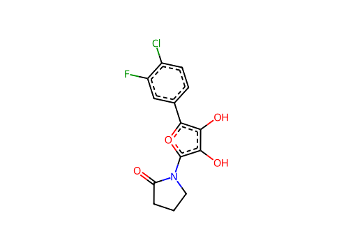 O=C1CCCN1c1oc(-c2ccc(Cl)c(F)c2)c(O)c1O